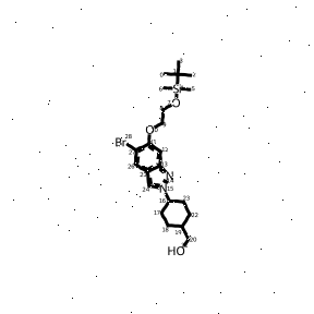 CC(C)(C)[Si](C)(C)OCCOc1cc2nn(C3CCC(CO)CC3)cc2cc1Br